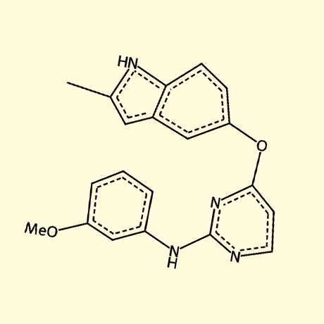 COc1cccc(Nc2nccc(Oc3ccc4[nH]c(C)cc4c3)n2)c1